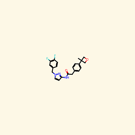 CC1(c2ccc(CC(=O)Nc3ccn(Cc4ccc(F)c(F)c4)n3)cc2)COC1